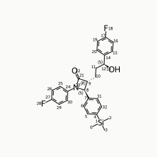 C[Si](C)(C)c1ccc([C@@H]2[C@@H](CC[C@H](O)c3ccc(F)cc3)C(=O)N2c2ccc(F)cc2)cc1